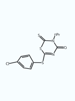 CCCn1c(=O)nc(Sc2ccc(Cl)cc2)sc1=S